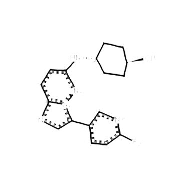 O[C@H]1CC[C@H](Nc2ccc3ncc(-c4ccc(F)nc4)n3n2)CC1